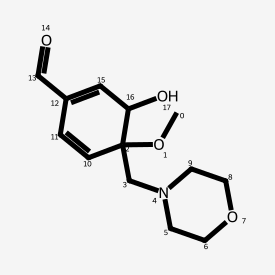 COC1(CN2CCOCC2)C=CC(C=O)=CC1O